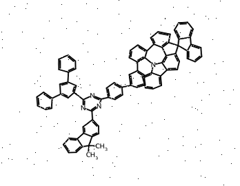 CC1(C)c2ccccc2-c2cc(-c3nc(-c4ccc(-c5cccc(-c6cccc7c6-n6c8ccccc8c8ccc9c(c86)-c6c-7cccc6C96c7ccccc7-c7ccccc76)c5)cc4)nc(-c4cc(-c5ccccc5)cc(-c5ccccc5)c4)n3)ccc21